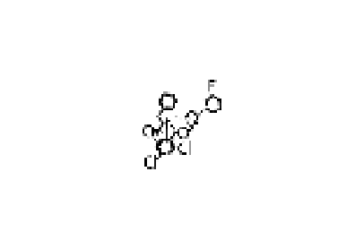 O=C(O)C(Cc1ccccc1)N(Cc1cc(-c2cccc(F)c2)cs1)C(=O)c1ccc(Cl)cc1Cl